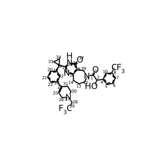 O=C(C(O)c1cccc(C(F)(F)F)c1)N1CCCc2nc(C3(c4cccc(C5=CCN(CC(F)(F)F)CC5)c4)CC3)[nH]c(=O)c2C1